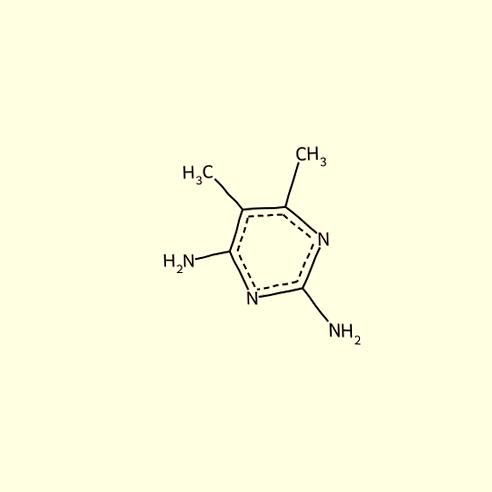 Cc1nc(N)nc(N)c1C